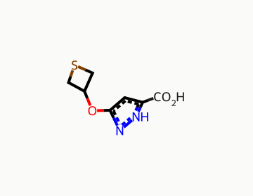 O=C(O)c1cc(OC2CSC2)n[nH]1